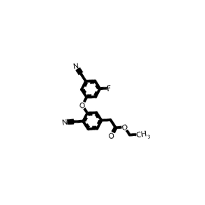 CCOC(=O)Cc1ccc(C#N)c(Oc2cc(F)cc(C#N)c2)c1